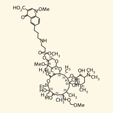 CC[C@H]1OC(=O)[C@H](C)[C@@H](O[C@H]2C[C@@](C)(OC)[C@@H](OS(=O)(=O)CCNCCCc3ccc4c(c3)c(=O)c(C(=O)O)cn4OC)[C@H](C)O2)[C@H](C)[C@@H](O[C@@H]2O[C@H](C)CC(N(C)C)[C@H]2O)[C@](C)(O)C[C@@H](C)/C(=N\OCOC)[C@H](C)[C@@H](O)[C@]1(C)O